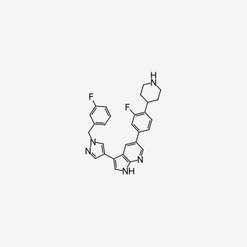 Fc1cccc(Cn2cc(-c3c[nH]c4ncc(-c5ccc(C6CCNCC6)c(F)c5)cc34)cn2)c1